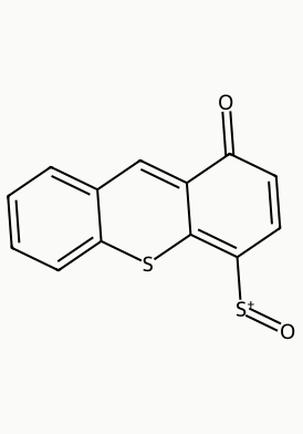 O=[S+]c1ccc(=O)c2cc3ccccc3sc1-2